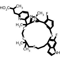 CC(Cc1cccc(C2(C)CCCC(C)(C)CSCCc3c(c(F)cc4[nH]ccc34)Sc3ccc(F)c(c3)-c3nc2nn3C)n1)C(=O)O